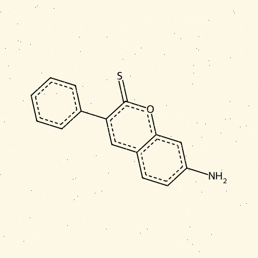 Nc1ccc2cc(-c3ccccc3)c(=S)oc2c1